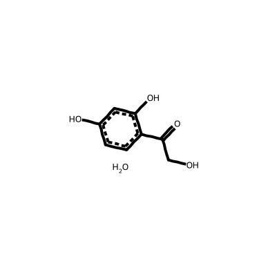 O.O=C(CO)c1ccc(O)cc1O